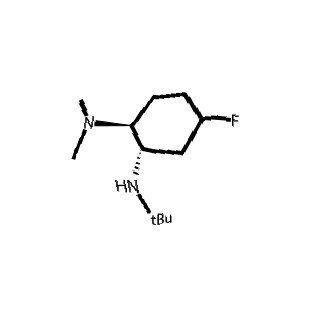 CN(C)[C@H]1CCC(F)C[C@@H]1NC(C)(C)C